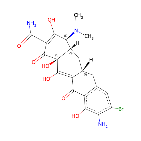 CN(C)[C@@H]1C(O)=C(C(N)=O)C(=O)[C@@]2(O)C(O)=C3C(=O)c4c(cc(Br)c(N)c4O)C[C@H]3C[C@@H]12